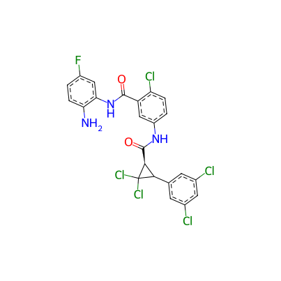 Nc1ccc(F)cc1NC(=O)c1cc(NC(=O)[C@H]2C(c3cc(Cl)cc(Cl)c3)C2(Cl)Cl)ccc1Cl